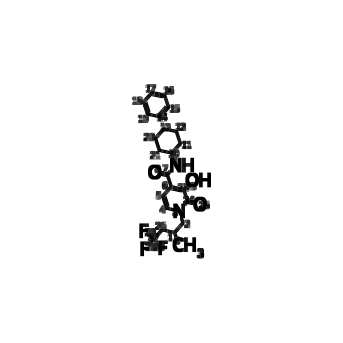 CC(Cn1ccc(C(=O)N[C@H]2CC[C@@H](c3ccccc3)CC2)c(O)c1=O)CC(F)(F)F